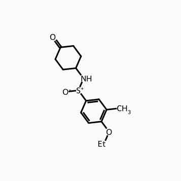 CCOc1ccc([S+]([O-])NC2CCC(=O)CC2)cc1C